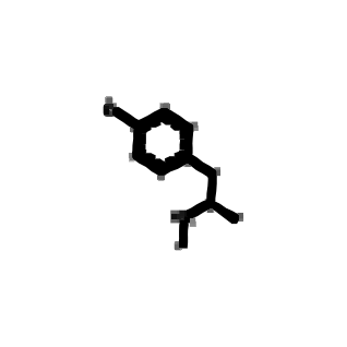 CN[C@H](C)Cc1ccc(Cl)cc1